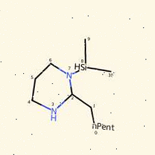 CCCCCCC1NCCCN1[SiH](C)C